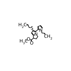 C=CCSc1cc2n(c1-c1cccn1CC=C)CCC2C(=O)OC